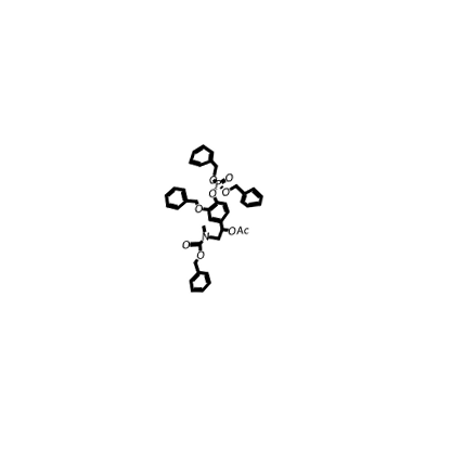 CC(=O)OC(CN(C)C(=O)OCc1ccccc1)c1ccc(OP(=O)(OCc2ccccc2)OCc2ccccc2)c(OCc2ccccc2)c1